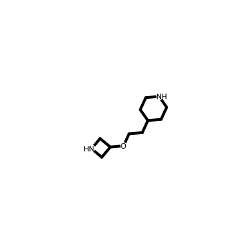 C1CC(CCOC2CNC2)CCN1